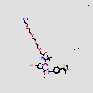 Cc1ncsc1-c1ccc(CNC(=O)C2CC(O)CN2C(=O)C(NC(=O)COCCOCCOCCOCCN)C(C)(C)C)cc1